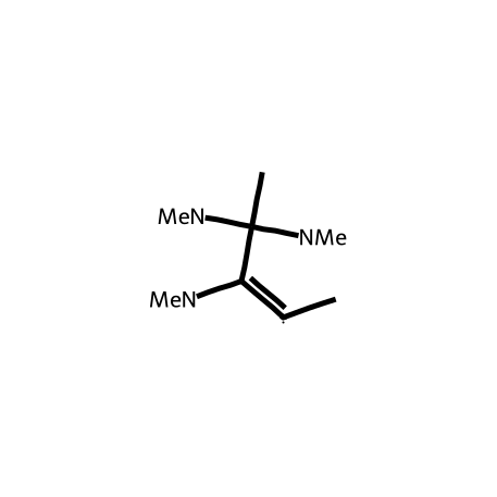 C[C]=C(NC)C(C)(NC)NC